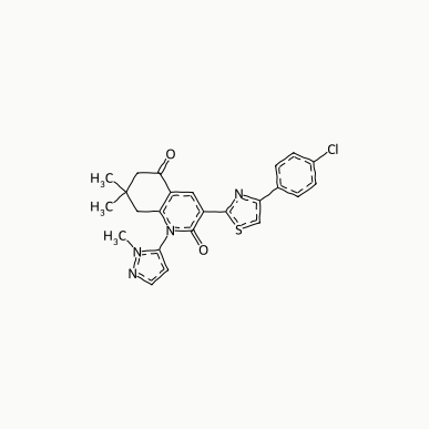 Cn1nccc1-n1c2c(cc(-c3nc(-c4ccc(Cl)cc4)cs3)c1=O)C(=O)CC(C)(C)C2